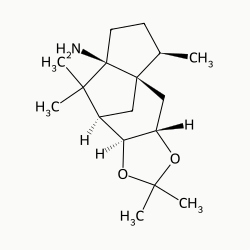 C[C@@H]1CC[C@@]2(N)C(C)(C)[C@H]3C[C@@]12C[C@@H]1OC(C)(C)O[C@H]13